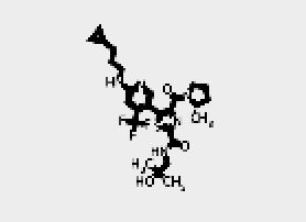 C[C@H]1CCCN1C(=O)c1nc(C(=O)NCC(C)(C)O)sc1-c1cnc(NCCCC2CC2)cc1C(F)(F)F